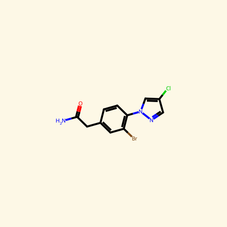 NC(=O)Cc1ccc(-n2cc(Cl)cn2)c(Br)c1